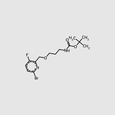 CC(C)(C)OC(=O)NCCCOCc1nc(Br)ccc1F